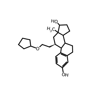 CC12C[C@H](CCOC3CCCC3)C3c4ccc(O)cc4CCC3C1CCC2O